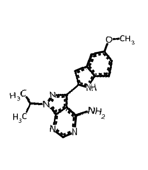 COc1ccc2[nH]c(-c3nn(C(C)C)c4ncnc(N)c34)cc2c1